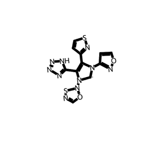 [CH]1N(c2ccon2)C(c2ccsn2)=C(c2nnn[nH]2)N1N1OC=NS1